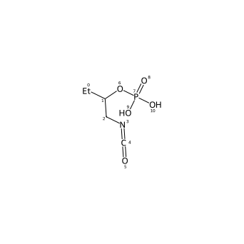 CCC(CN=C=O)OP(=O)(O)O